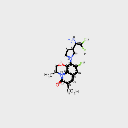 C[C@H]1COc2c(N3CC[C@@H]([C@@H](N)C(F)F)C3)c(F)cc3cc(C(=O)O)c(=O)n1c23